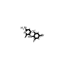 Cc1nc(N)ccc1Nc1c(F)cc(Br)cc1Cl